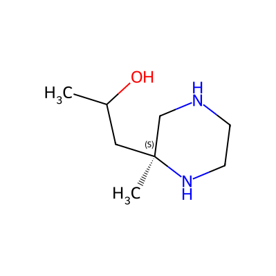 CC(O)C[C@@]1(C)CNCCN1